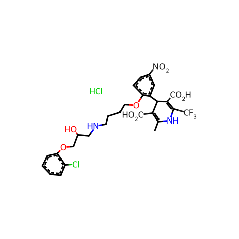 CC1=C(C(=O)O)C(c2cc([N+](=O)[O-])ccc2OCCCCNCC(O)COc2ccccc2Cl)C(C(=O)O)=C(C(F)(F)F)N1.Cl